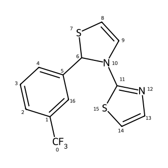 FC(F)(F)c1cccc(C2SC=CN2c2nccs2)c1